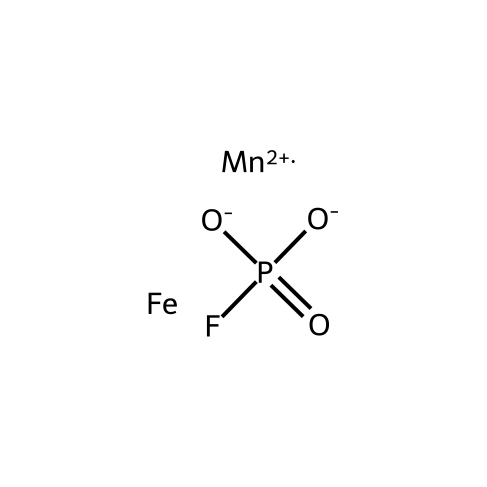 O=P([O-])([O-])F.[Fe].[Mn+2]